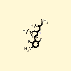 C=C(/C=C(/C=Cc1c(F)ccc(N)c1F)CN(C)N)CN